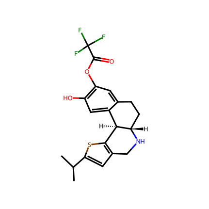 CC(C)c1cc2c(s1)[C@H]1c3cc(O)c(OC(=O)C(F)(F)F)cc3CC[C@@H]1NC2